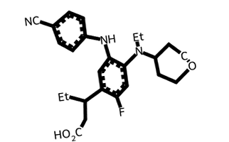 CCC(CC(=O)O)c1cc(Nc2ccc(C#N)cc2)c(N(CC)C2CCOCC2)cc1F